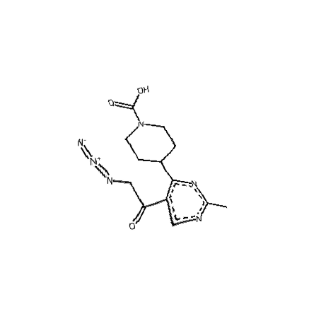 Cc1ncc(C(=O)CN=[N+]=[N-])c(C2CCN(C(=O)O)CC2)n1